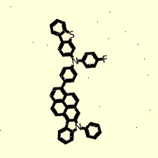 Fc1ccc(N(c2ccc(-c3ccc4ccc5c6c(ccc3c46)cc3c5c4ccccc4n3-c3ccccc3)cc2)c2ccc3c(c2)sc2ccccc23)cc1